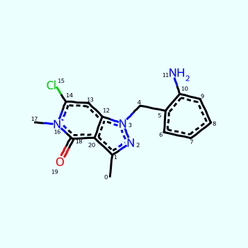 Cc1nn(Cc2ccccc2N)c2cc(Cl)n(C)c(=O)c12